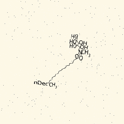 CCCCCCCCCCC(C)CCCCCCCCCCCCCCCCOC(=O)N(C)C[C@H](O)[C@@H](O)[C@H](O)[C@H](O)CO